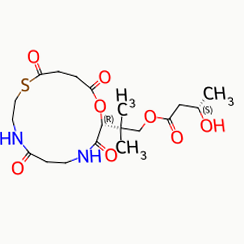 C[C@H](O)CC(=O)OCC(C)(C)[C@H]1OC(=O)CCC(=O)SCCNC(=O)CCNC1=O